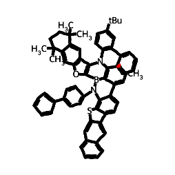 Cc1cc2c3c(c1)N(c1ccc(C(C)(C)C)cc1-c1ccccc1)c1c(oc4cc5c(cc14)C(C)(C)CCC5(C)C)B3N(c1ccc(-c3ccccc3)cc1)c1c-2ccc2c1sc1cc3ccccc3cc12